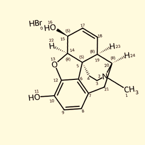 Br.CN1CC[C@]23c4c5ccc(O)c4O[C@H]2[C@@H](O)C=C[C@H]3[C@H]1C5